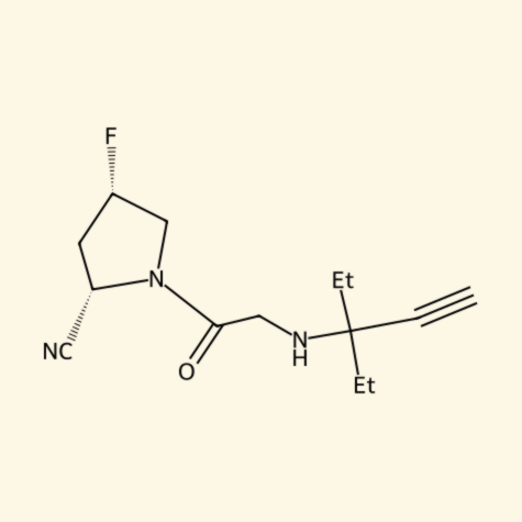 C#CC(CC)(CC)NCC(=O)N1C[C@@H](F)C[C@H]1C#N